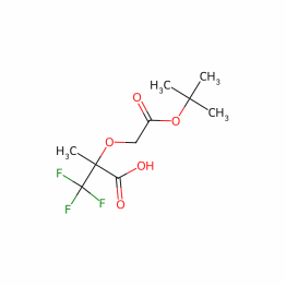 CC(C)(C)OC(=O)COC(C)(C(=O)O)C(F)(F)F